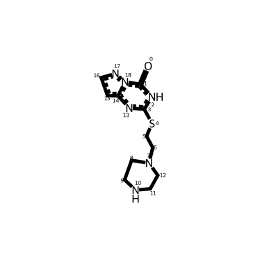 O=c1[nH]c(SCCN2CCNCC2)nc2ccnn12